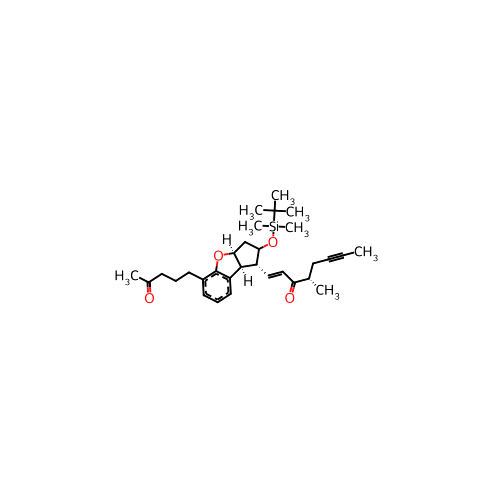 CC#CC[C@H](C)C(=O)/C=C/[C@H]1C(O[Si](C)(C)C(C)(C)C)C[C@@H]2Oc3c(CCCC(C)=O)cccc3[C@@H]21